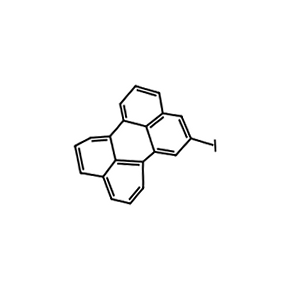 Ic1cc2cccc3c4cccc5cccc(c(c1)c23)c54